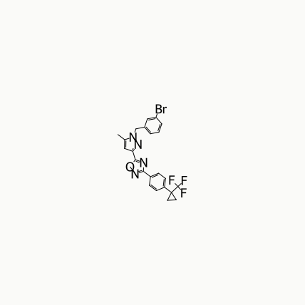 Cc1cc(-c2nc(-c3ccc(C4(C(F)(F)F)CC4)cc3)no2)nn1Cc1cccc(Br)c1